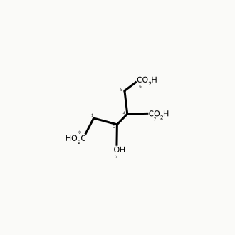 O=C(O)CC(O)C(CC(=O)O)C(=O)O